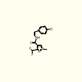 Cn1cc(C(=O)N/C=C\c2ccc(Cl)cc2)c(C(F)F)n1